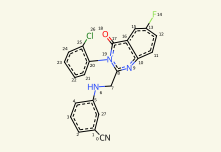 N#Cc1cccc(NCc2nc3ccc(F)cc3c(=O)n2-c2ccccc2Cl)c1